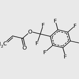 C=CC(=O)OC(F)(F)c1c(F)c(F)c(F)c(F)c1F